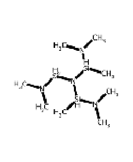 CN(C)[SiH2]N([SiH](C)N(C)C)[SiH](C)N(C)C